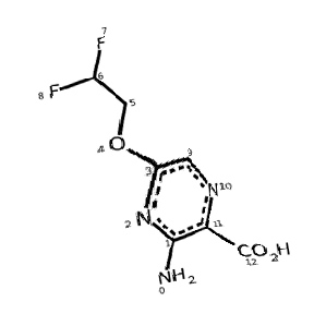 Nc1nc(OCC(F)F)cnc1C(=O)O